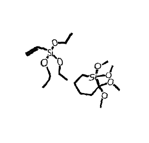 C=C[Si](OCC)(OCC)OCC.COC1(OC)CCCC[Si]1(OC)OC